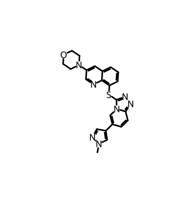 Cn1cc(-c2ccc3nnc(Sc4cccc5cc(N6CCOCC6)cnc45)n3c2)cn1